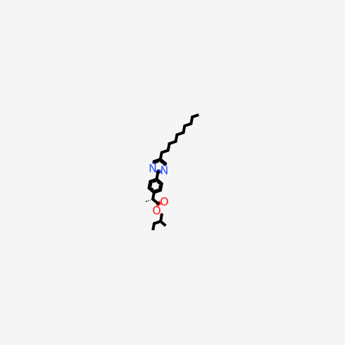 CCCCCCCCCCc1cnc(-c2ccc([C@@H](C)C(=O)OCC(C)CC)cc2)nc1